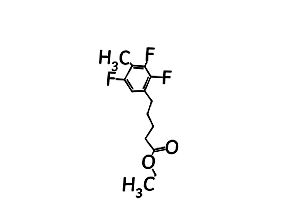 CCOC(=O)CCCCc1cc(F)c(C)c(F)c1F